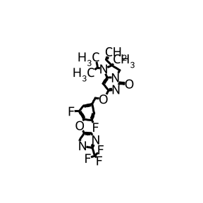 C=CC1(C)Cn2c(cc(OCc3cc(F)c(Oc4cnc(C(F)(F)F)nc4)c(F)c3)nc2=O)N1C(C)C